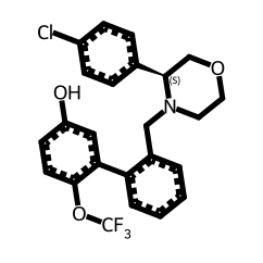 Oc1ccc(OC(F)(F)F)c(-c2ccccc2CN2CCOC[C@@H]2c2ccc(Cl)cc2)c1